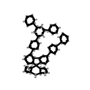 c1ccc(-c2ccc(-c3ccc4c(c3)-c3c(-c5ccc(-c6nc(-c7ccccc7)nc(-c7ccccc7)n6)cc5)cccc3C43c4ccccc4Oc4ccccc43)cc2)cc1